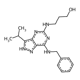 CC(C)c1[nH]nc2c(NCc3ccccc3)nc(NCCCO)nc12